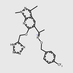 C/C(=N\OCc1ccc(C(F)(F)F)cc1)c1cc2c(C)nn(C)c2nc1OCc1nnn[nH]1